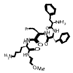 COCCNC(=O)[C@@H](CCCCN)NC(=O)[C@@H](CC(C)C)NC(=O)[C@@H](Cc1ccccc1)NC(=O)[C@H](N)Cc1ccccc1